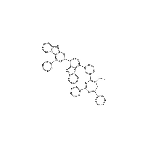 CCC1=C(c2cccc(-c3ccc(-c4cc(-c5ccccc5)c5c(c4)sc4ccccc45)c4oc5ccccc5c34)c2)N=C(c2ccccc2)N=C(c2ccccc2)C1